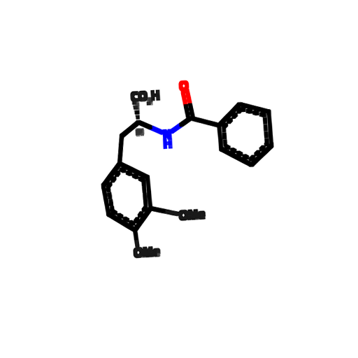 COc1ccc(C[C@@H](NC(=O)c2ccccc2)C(=O)O)cc1OC